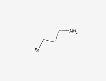 [AlH2][CH2]CCBr